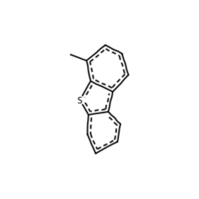 Cc1cccc2c1sc1ccccc12